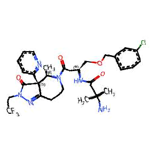 C[C@H]1N(C(=O)[C@@H](COCc2cccc(Cl)c2)NC(=O)C(C)(C)N)CCC2=NN(CC(F)(F)F)C(=O)[C@@]21c1ccccn1